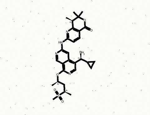 C[C@H](C[C@@H](C)S(C)(=O)=O)Oc1ncc([C@@H](N)C2CC2)c2cc(Nc3ccc4c(n3)[C@@H](C)C(C)(C)OC4=O)ncc12